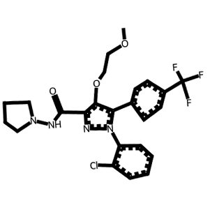 COCCOc1c(C(=O)NN2CCCC2)nn(-c2ccccc2Cl)c1-c1ccc(C(F)(F)F)cc1